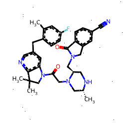 Cc1cc(F)ccc1Cc1cnc2c(c1)N(C(=O)CN1C[C@@H](C)NC[C@@H]1CN1Cc3cc(C#N)ccc3C1=O)CC2(C)C